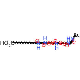 CC(=O)CCCNC(=O)CCC(C)NC(=O)COCCOCCNC(=O)COCCOCCNC(=O)CCCNC(=O)CCCCCCCCCCCCCCCCCCC(=O)O